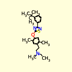 CCN(C)CCc1cc(C)c(Oc2nc(-c3cccc(C(C)(C)C)c3)ns2)cc1C